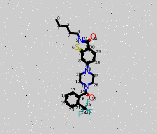 CCCCCn1sc2cc(N3CCN(C(=O)c4ccccc4C(F)(F)F)CC3)ccc2c1=O